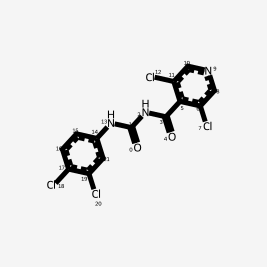 O=C(NC(=O)c1c(Cl)cncc1Cl)Nc1ccc(Cl)c(Cl)c1